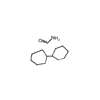 C1CCC(C2CCCCC2)CC1.NC=O